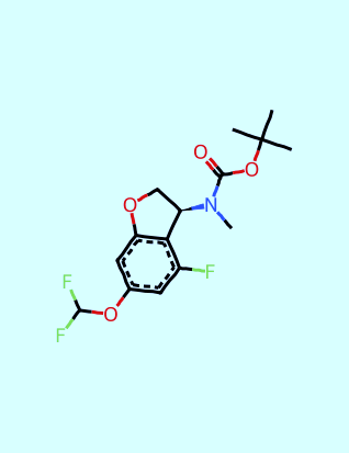 CN(C(=O)OC(C)(C)C)[C@@H]1COc2cc(OC(F)F)cc(F)c21